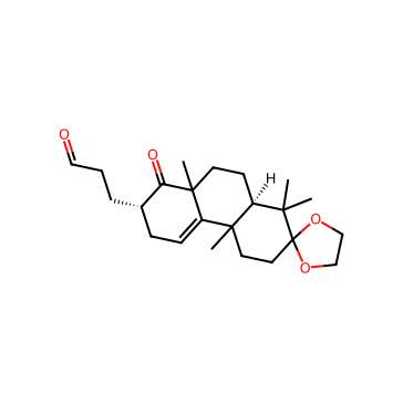 CC12CC[C@@H]3C(C)(CCC4(OCCO4)C3(C)C)C1=CC[C@H](CCC=O)C2=O